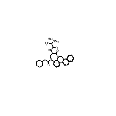 CNC(C)C(=O)NC1CN(C(=O)CC2CCCCC2)c2ccccc2N(Cc2c(C)ccc3ccccc23)C1=O.Cl